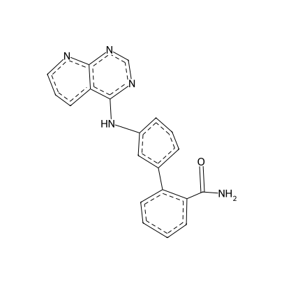 NC(=O)c1ccccc1-c1cccc(Nc2ncnc3ncccc23)c1